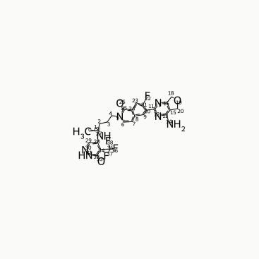 C[C@@H](CCCn1ccc2cc(-c3nc(N)c4c(n3)COC4)c(F)cc2c1=O)Nc1cn[nH]c(=O)c1C(F)(F)F